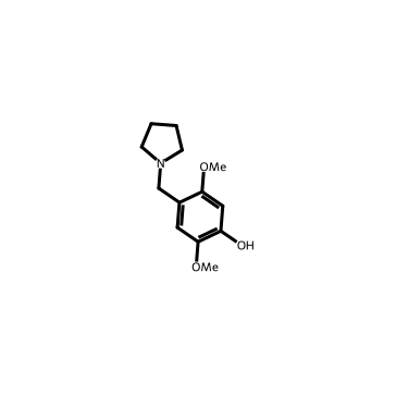 COc1cc(CN2CCCC2)c(OC)cc1O